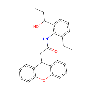 CCc1cccc(C(O)CC)c1NC(=O)CC1c2ccccc2Oc2ccccc21